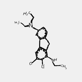 CCNc1c(Cl)c(Cl)cc2c1Cc1ccc(N(CC)CC)cc1-2